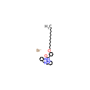 CCCCCCCCCCCCCCOc1cccc(CC(=O)Nc2ccccc2Cn2cc3cccc[n+]3c2)c1.[Br-]